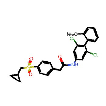 COc1ccccc1-c1c(Cl)cc(NC(=O)Cc2ccc(S(=O)(=O)CC3CC3)cc2)cc1Cl